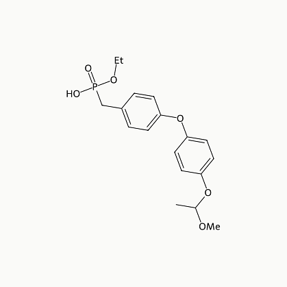 CCOP(=O)(O)Cc1ccc(Oc2ccc(OC(C)OC)cc2)cc1